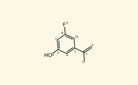 C=C(C)c1cc(O)cc(F)c1